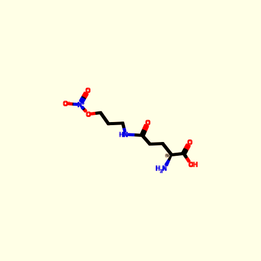 N[C@@H](CCC(=O)NCCCO[N+](=O)[O-])C(=O)O